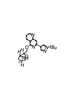 CC(C)(C)n1cc(-c2cc3ncccc3c(OC[C@H]3OC[C@@H]4C[C@H]3N4)n2)cn1